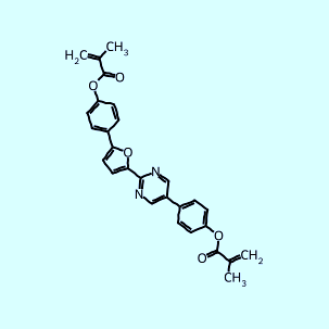 C=C(C)C(=O)Oc1ccc(-c2cnc(-c3ccc(-c4ccc(OC(=O)C(=C)C)cc4)o3)nc2)cc1